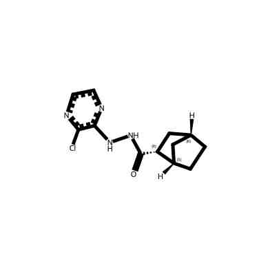 O=C(NNc1nccnc1Cl)[C@@H]1C[C@@H]2CC[C@H]1C2